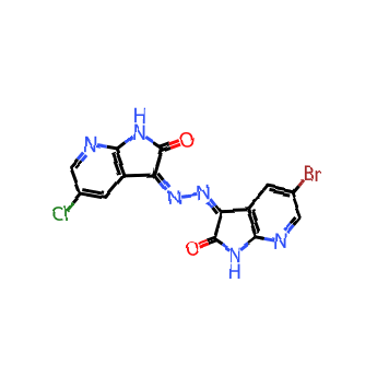 O=C1Nc2ncc(Cl)cc2/C1=N/N=C1\C(=O)Nc2ncc(Br)cc21